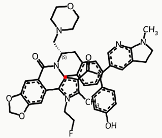 Cc1c(C(=O)N(c2ccc(O)cc2)c2cnc3c(c2)CCN3C)cc(-c2cc3c(cc2C(=O)N2Cc4ccccc4C[C@H]2CN2CCOCC2)OCO3)n1CCF